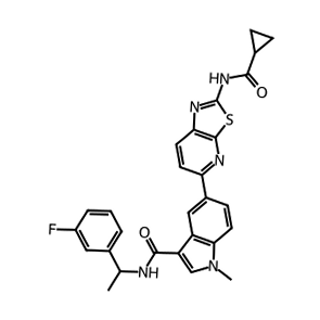 CC(NC(=O)c1cn(C)c2ccc(-c3ccc4nc(NC(=O)C5CC5)sc4n3)cc12)c1cccc(F)c1